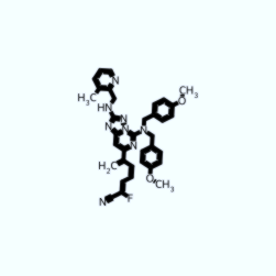 C=C(/C=C\C=C(/F)C#N)c1cc2nc(NCc3ncccc3C)nn2c(N(Cc2ccc(OC)cc2)Cc2ccc(OC)cc2)n1